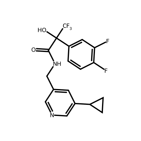 O=C(NCc1cncc(C2CC2)c1)C(O)(c1ccc(F)c(F)c1)C(F)(F)F